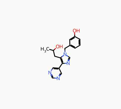 CC(O)Cc1c(-c2cncnc2)ncn1Cc1cccc(O)c1